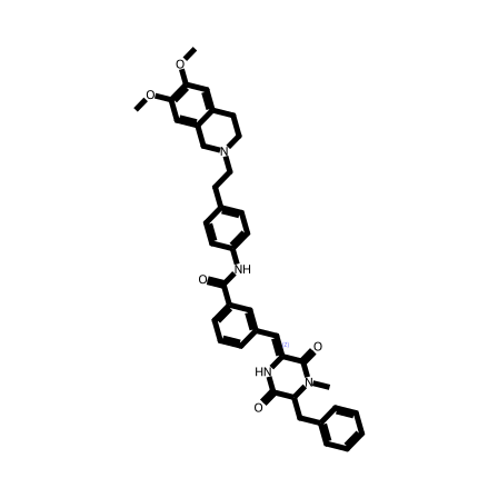 COc1cc2c(cc1OC)CN(CCc1ccc(NC(=O)c3cccc(/C=C4\NC(=O)C(Cc5ccccc5)N(C)C4=O)c3)cc1)CC2